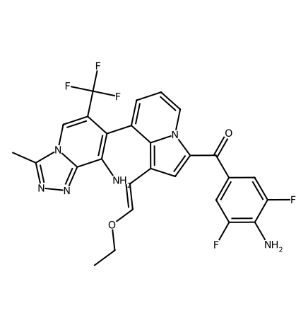 CCOC=Cc1cc(C(=O)c2cc(F)c(N)c(F)c2)n2cccc(-c3c(C(F)(F)F)cn4c(C)nnc4c3N)c12